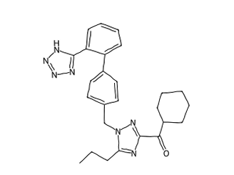 CCCc1nc(C(=O)C2CCCCC2)nn1Cc1ccc(-c2ccccc2-c2nnn[nH]2)cc1